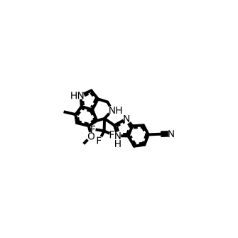 COc1cc(C)c2[nH]cc3c2c1C(c1nc2cc(C#N)ccc2[nH]1)(C(F)(F)F)NC3